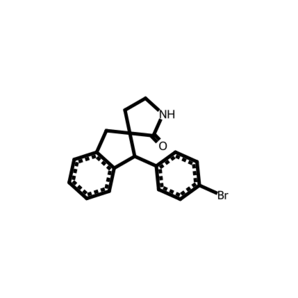 O=C1NCCC12Cc1ccccc1C2c1ccc(Br)cc1